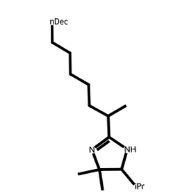 CCCCCCCCCCCCCCCC(C)C1=NC(C)(C)C(C(C)C)N1